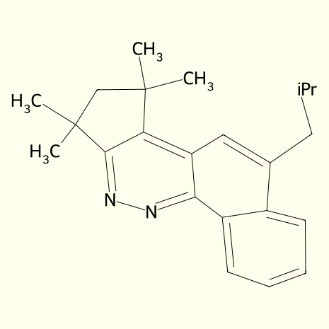 CC(C)Cc1cc2c3c(nnc2c2ccccc12)C(C)(C)CC3(C)C